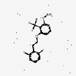 NNc1nccc(OCCc2c(F)cccc2F)c1C(F)(F)F